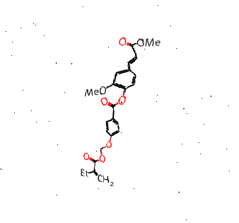 C=C(CC)C(=O)OCOc1ccc(C(=O)Oc2ccc(/C=C/C(=O)OC)cc2OC)cc1